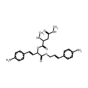 CNC(=O)CC(NC)C(=O)OC(/C=C/c1ccc(N)cc1)C(=O)OC/C=C/c1ccc(N)cc1